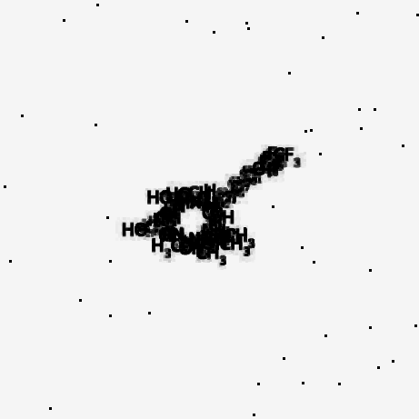 C[C@@H](O)[C@@H]1NC(=O)[C@H]([C@H](O)[C@@H](O)c2ccc(O)cc2)NC(=O)[C@@H]2C[C@@H](O)CN2C(=O)[C@H]([C@@H](C)O)NC(=O)[C@@H](NC(=O)c2ccc(-c3ccc(-c4ccc(OCC(F)(F)C(F)(F)C(F)(F)C(F)(F)F)cc4)cc3)cc2)C[C@@H](O)[C@@H](OCC[N+](C)(C)C)NC(=O)[C@@H]2[C@@H](O)[C@@H](C)CN2C1=O